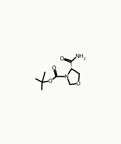 CC(C)(C)OC(=O)N1COC[C@H]1C(N)=O